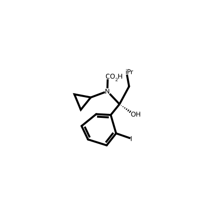 CC(C)C[C@@](O)(c1ccccc1I)N(C(=O)O)C1CC1